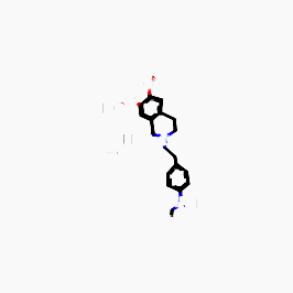 CCNc1ccc(CCN2CCc3cc(OC)c(OC)cc3C2C)cc1.Cl